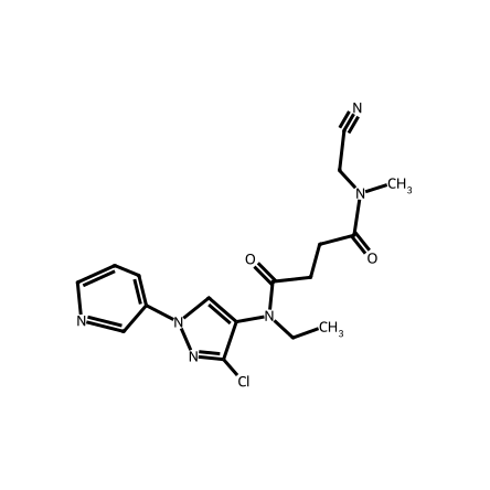 CCN(C(=O)CCC(=O)N(C)CC#N)c1cn(-c2cccnc2)nc1Cl